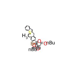 CCCCOC[C@@H]1C[C@H](OCCCC)[C@@H](OCCCC)[C@H](c2cc(Cc3cc4ccccc4s3)c(C)cc2Br)O1